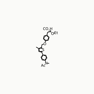 CCOC(Cc1ccc(OCc2sc(-c3ccc(N(C)C(C)=O)cc3)cc2C)cc1)C(=O)O